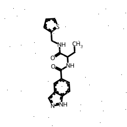 CCC(NC(=O)c1ccc2[nH]ncc2c1)C(=O)NCc1cccs1